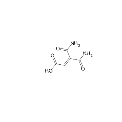 NC(=O)C(=CC(=O)O)C(N)=O